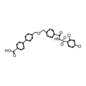 O=C(O)c1ccc(-c2ccc(COCc3ccc(C(=O)NS(=O)(=O)c4ccc(Cl)cc4Cl)cc3)cc2)cc1